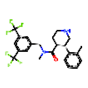 Cc1ccccc1[C@H]1CNCCC1C(=O)N(C)Cc1cc(C(F)(F)F)cc(C(F)(F)F)c1